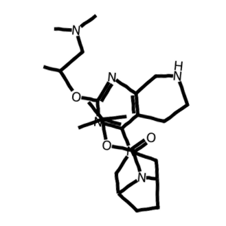 CC(CN(C)C)Oc1nc2c(c(N3CC4CCC(C3)N4C(=O)OC(C)(C)C)n1)CCNC2